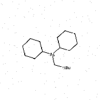 CC(C)(C)C[As](C1CCCCC1)C1CCCCC1